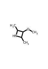 COC1C(C)NC1C